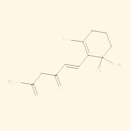 COC(=O)CC(=O)/C=C/C1=C(C)CCCC1(C)C